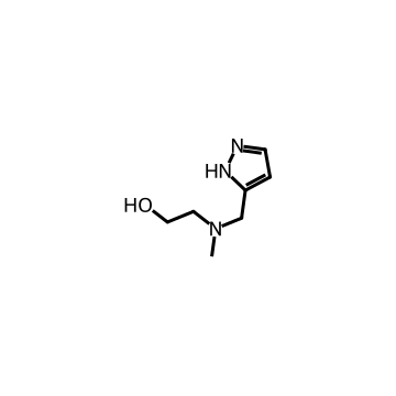 CN(CCO)Cc1ccn[nH]1